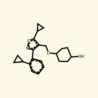 OC1CCC(OCc2c(-c3ccccc3C3CC3)noc2C2CC2)CC1